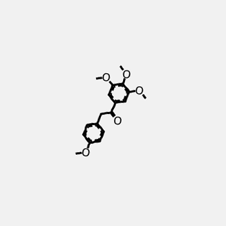 COc1ccc(CC(=O)c2cc(OC)c(OC)c(OC)c2)cc1